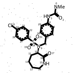 CNC(=O)Nc1ccc(CN([C@@H]2CCCCNC2=O)S(=O)(=O)c2ccc(Cl)cc2)cc1